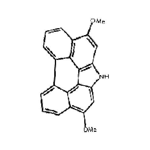 COc1cc2[nH]c3cc(OC)c4cccc5c6cccc1c6c2c3c45